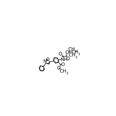 COC(=O)c1cc(-c2cc(-c3ccccc3)no2)ccc1NC(=O)C(=O)OC(C)(C)C